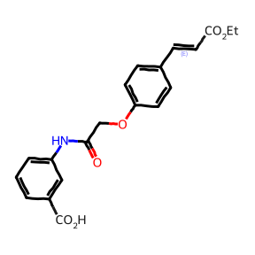 CCOC(=O)/C=C/c1ccc(OCC(=O)Nc2cccc(C(=O)O)c2)cc1